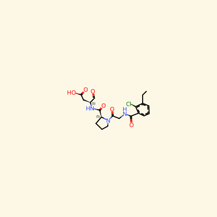 CCc1cccc(C(=O)NCC(=O)N2CCC[C@H]2C(=O)N[C@H](C=O)CC(=O)O)c1Cl